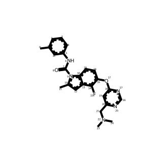 Cc1cccc(NC(=O)n2c(C)cc3c(F)c(Oc4cc(CN(C)C)ncn4)ccc32)c1